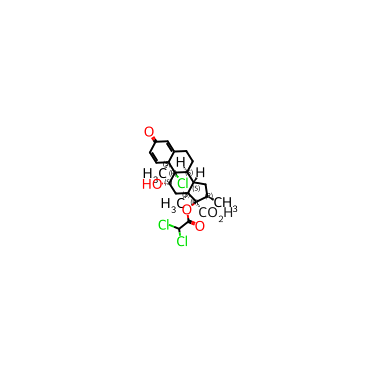 C[C@@H]1C[C@H]2[C@@H]3CCC4=CC(=O)C=C[C@]4(C)[C@@]3(Cl)[C@@H](O)C[C@]2(C)[C@@]1(OC(=O)C(Cl)Cl)C(=O)O